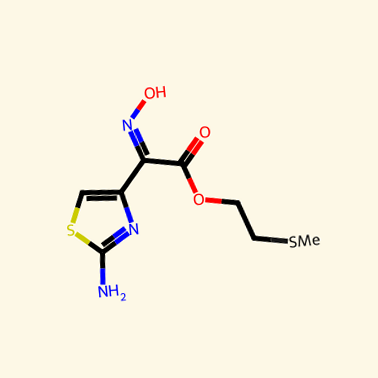 CSCCOC(=O)C(=NO)c1csc(N)n1